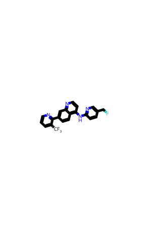 FCc1ccc(Nc2ccnc3cc(-c4ncccc4C(F)(F)F)ccc23)nc1